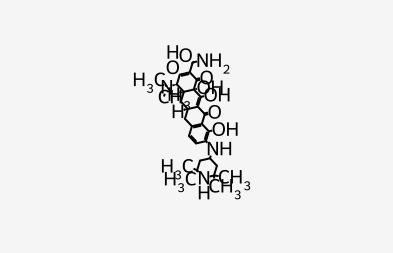 CN(C)[C@H]1C(O)=C(C(N)=O)C(=O)[C@]2(O)C(O)=C3C(=O)c4c(ccc(NC5CC(C)(C)NC(C)(C)C5)c4O)C[C@@H]3C[C@H]12